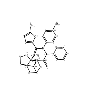 Cc1ccc(C(=O)N(c2ccc(C(C)(C)C)cc2)C(C(=O)N[C@H]2C3CO[C@@]4(C)OCC2C4C3)c2cccnc2)o1